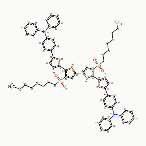 CCCCCCCCS(=O)(=O)c1cc(-c2cc(S(=O)(=O)CCCCCCCC)c(-c3ccc(-c4ccc(N(c5ccccc5)c5ccccc5)cc4)s3)s2)sc1-c1ccc(-c2ccc(N(c3ccccc3)c3ccccc3)cc2)s1